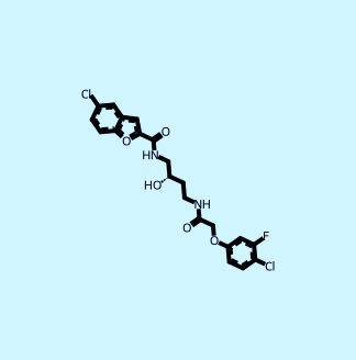 O=C(COc1ccc(Cl)c(F)c1)NCC[C@H](O)CNC(=O)c1cc2cc(Cl)ccc2o1